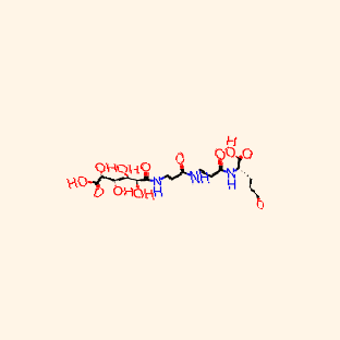 O=CCC[C@H](NC(=O)CCNC(=O)CCNC(=O)[C@@H](O)[C@H](O)[C@H](O)[C@@H](O)C(=O)O)C(=O)O